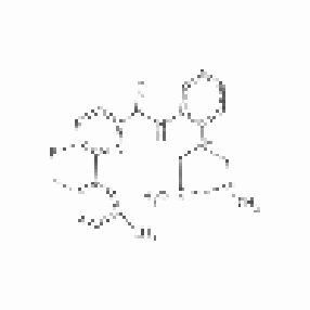 Cc1ccc(F)c(-c2nc(C(=O)Nc3cnccc3[C@@H]3C[C@H](C)C[C@H](C)C3)ccc2F)c1